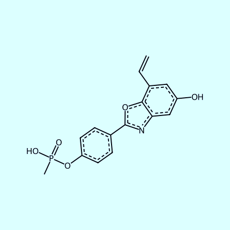 C=Cc1cc(O)cc2nc(-c3ccc(OP(C)(=O)O)cc3)oc12